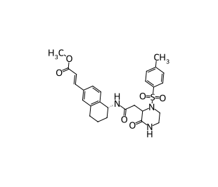 COC(=O)/C=C/c1ccc2c(c1)CCC[C@H]2NC(=O)CC1C(=O)NCCN1S(=O)(=O)c1ccc(C)cc1